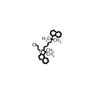 CC(C)(C/C=C/C=C1/N(CCCl)c2ccc3ccccc3c2C1(C)C)c1cccc2ccccc12